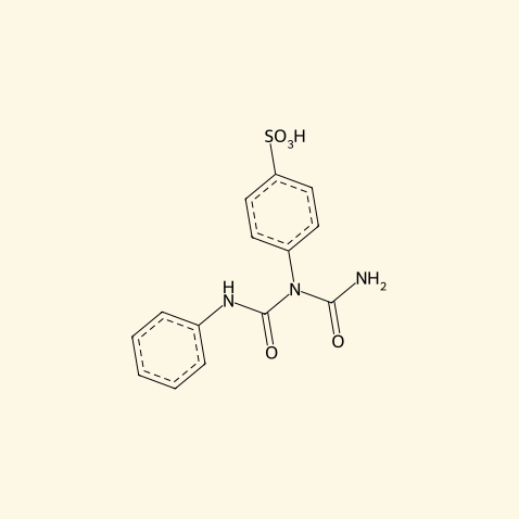 NC(=O)N(C(=O)Nc1ccccc1)c1ccc(S(=O)(=O)O)cc1